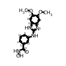 COc1cc2nc(Nc3cccc(C(=O)NO)c3)[nH]c2cc1OC